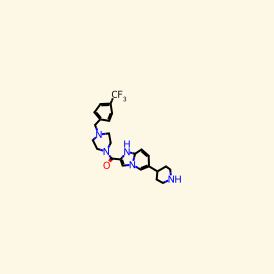 O=C(C1=CN2C=C(C3CCNCC3)C=CC2N1)N1CCN(Cc2ccc(C(F)(F)F)cc2)CC1